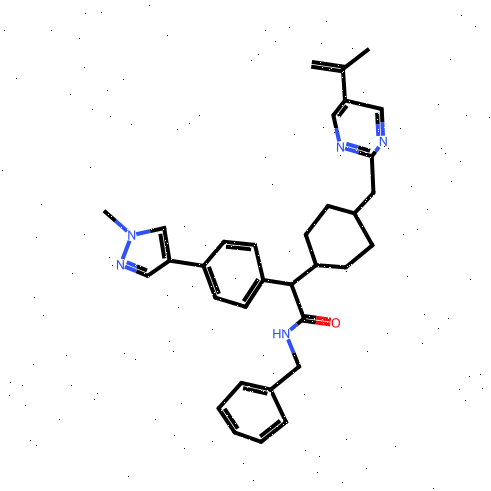 C=C(C)c1cnc(CC2CCC(C(C(=O)NCc3ccccc3)c3ccc(-c4cnn(C)c4)cc3)CC2)nc1